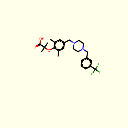 Cc1cc(CN2CCN(Cc3cccc(C(F)(F)F)c3)CC2)cc(C)c1OC(C)(C)C(=O)O